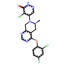 C[C@H]1Cc2c(ncnc2Oc2ccc(F)cc2Cl)CN1c1cn[nH]c(=O)c1Cl